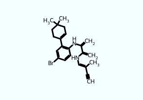 C#C/C(C)=C/NC(=C)C(=C)Nc1ccc(Br)cc1C1=CCC(C)(C)CC1